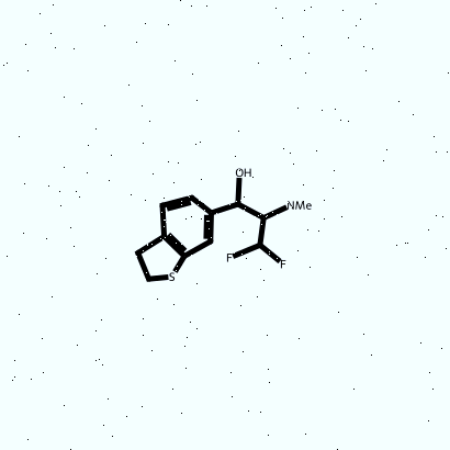 CNC(C(F)F)C(O)c1ccc2c(c1)SCC2